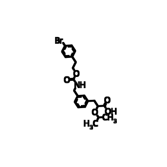 CC(C)OC(Cc1cccc(CNC(=O)OCCc2ccc(Br)cc2)c1)C(=O)O